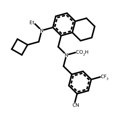 CCN(CC1CCC1)c1ccc2c(c1CN(Cc1cc(C#N)cc(C(F)(F)F)c1)C(=O)O)CCCC2